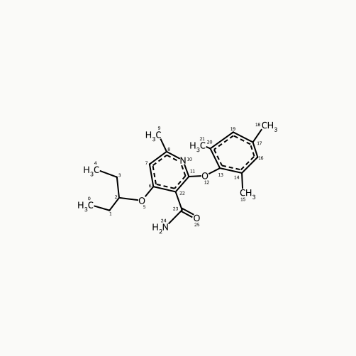 CCC(CC)Oc1cc(C)nc(Oc2c(C)cc(C)cc2C)c1C(N)=O